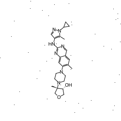 Cc1cc2cnc(Nc3cnn(C4CC4)c3C)nc2cc1N1CCN([C@@]2(C)COC[C@H]2O)CC1